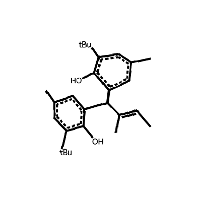 C/C=C(\C)C(c1cc(C)cc(C(C)(C)C)c1O)c1cc(C)cc(C(C)(C)C)c1O